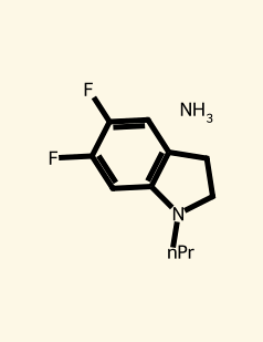 CCCN1CCc2cc(F)c(F)cc21.N